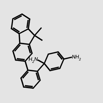 CC1(C)c2ccccc2-c2ccc(-c3ccccc3C3(N)C=CC(N)=CC3)cc21